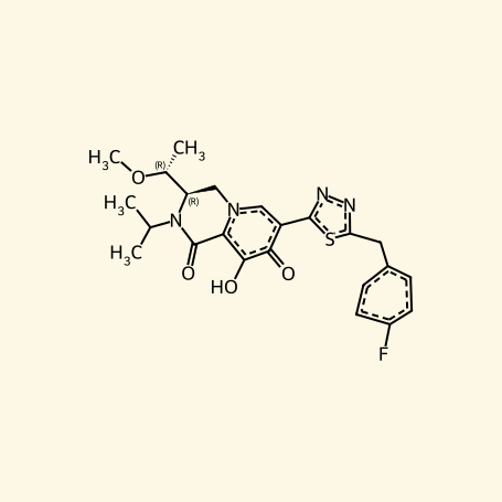 CO[C@H](C)[C@H]1Cn2cc(-c3nnc(Cc4ccc(F)cc4)s3)c(=O)c(O)c2C(=O)N1C(C)C